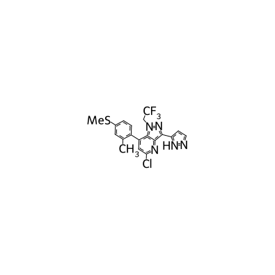 CSc1ccc(-c2cc(Cl)nc3c(-c4ccn[nH]4)nn(CC(F)(F)F)c23)c(C)c1